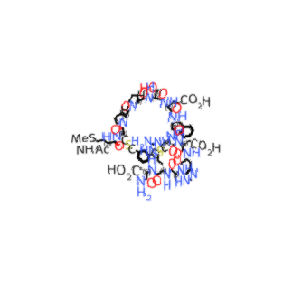 CSCC[C@H](NC(C)=O)C(=O)N[C@H]1CSCc2cccc(c2)CSC[C@@H](C(=O)N[C@@H](CC(=O)O)C(=O)NC(Cc2c[nH]cn2)C(=O)N[C@@H](C)C(=O)N[C@@H](CCCNC(=N)N)C(=O)N[C@@H](CC(=O)O)C(N)=O)NC(=O)[C@H](Cc2ccccc2)NC(=O)[C@H](CCC(=O)O)NC(=O)[C@H]([C@@H](C)O)NC(=O)[C@@H]2CCCN2C(=O)[C@@H]2CCCN2C1=O